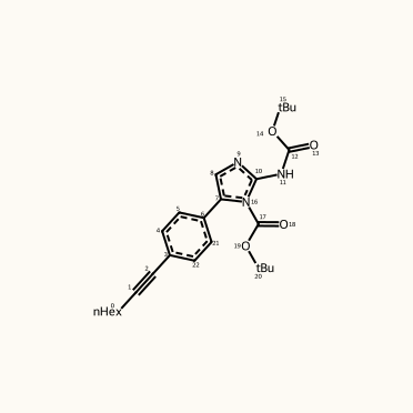 CCCCCCC#Cc1ccc(-c2cnc(NC(=O)OC(C)(C)C)n2C(=O)OC(C)(C)C)cc1